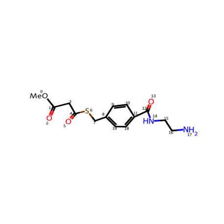 COC(=O)CC(=O)SCc1ccc(C(=O)NCCN)cc1